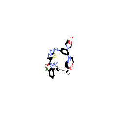 Cc1cccc(Cl)c1NC(=O)c1cnc(Nc2cc(N3CCOCC3)cc(N3CCOCC3)c2)s1